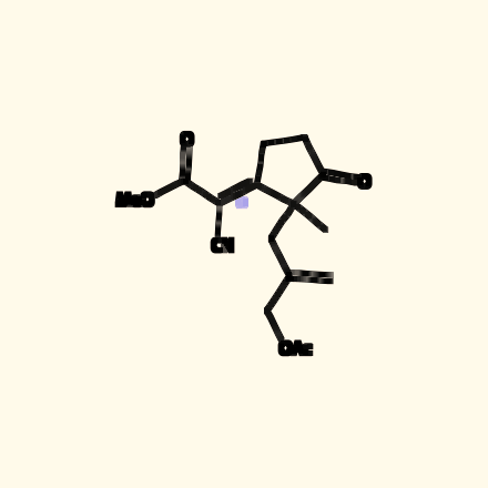 C=C(COC(C)=O)CC1(C)C(=O)CC/C1=C(/C#N)C(=O)OC